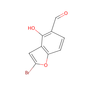 O=Cc1ccc2oc(Br)cc2c1O